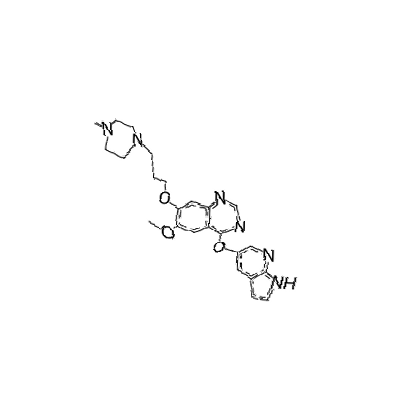 COc1cc2c(Oc3cnc4[nH]ccc4c3)ncnc2cc1OCCCN1CCN(C)CC1